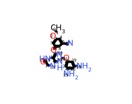 CCOc1cc(C#N)cc(OC2=C3NC(=O)CN=C3NC(Oc3cc(N)cc(N)c3)=N2)c1